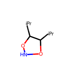 CC(C)C1ONOC1C(C)C